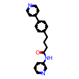 O=C(CCCc1ccc(-c2ccncc2)cc1)Nc1cccnc1